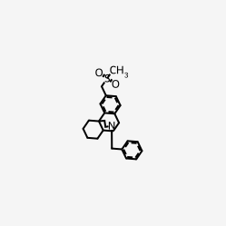 CS(=O)(=O)Cc1ccc2c(c1)C13CCCCC1C(C2)N(Cc1ccccc1)CC3